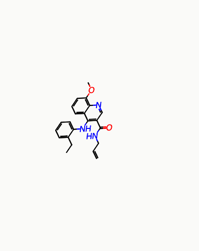 C=CCNC(=O)c1cnc2c(OC)cccc2c1Nc1ccccc1CC